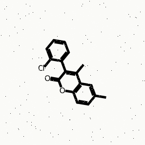 Cc1ccc2oc(=O)c(-c3ccccc3Cl)c(C)c2c1